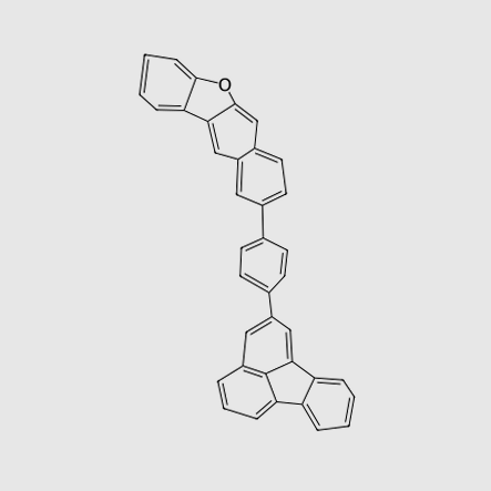 c1ccc2c(c1)-c1cccc3cc(-c4ccc(-c5ccc6cc7oc8ccccc8c7cc6c5)cc4)cc-2c13